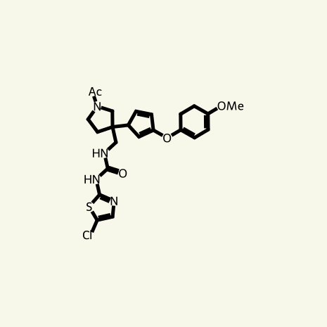 COC1=CC=C(OC2=CC(C3(CNC(=O)Nc4ncc(Cl)s4)CCN(C(C)=O)C3)C=C2)CC1